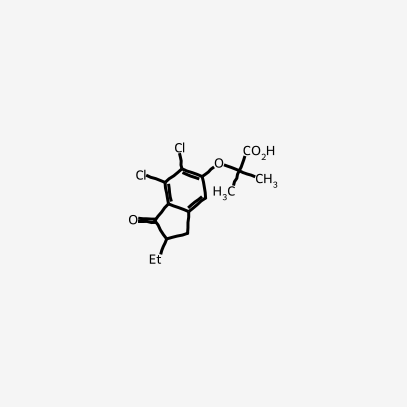 CCC1Cc2cc(OC(C)(C)C(=O)O)c(Cl)c(Cl)c2C1=O